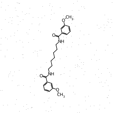 COc1cccc(C(=O)NCCCCCCCNC(=O)c2cccc(OC)c2)c1